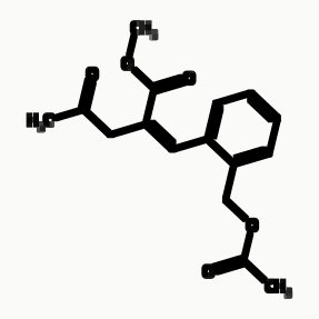 COC(=O)/C(=C\c1ccccc1COC(C)=O)CC(C)=O